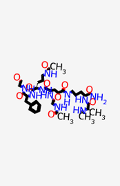 CN[C@@H](C)C(=O)NC(CCCNC(=O)CCC(NC(=O)CNC(C)=O)C(=O)N[C@@H](CCCNC(C)=O)C(=O)NC(Cc1ccccc1)C(=O)NCC=O)C(N)=O